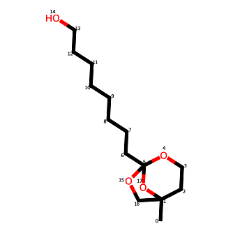 CC12CCOC(CCCCCCCCO)(OC1)O2